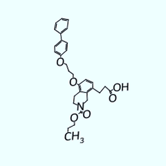 CCCOC(=O)N1CCc2c(OCCCOc3ccc(-c4ccccc4)cc3)ccc(CCC(=O)O)c2C1